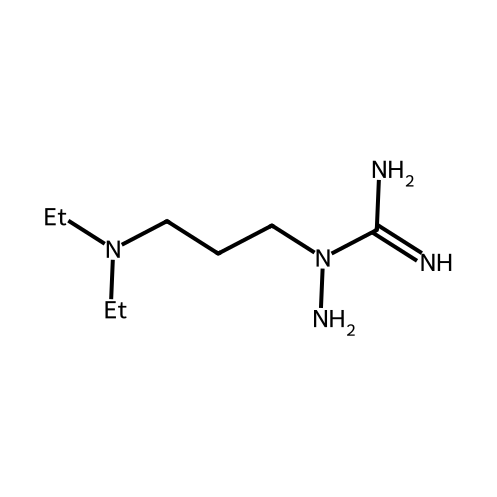 CCN(CC)CCCN(N)C(=N)N